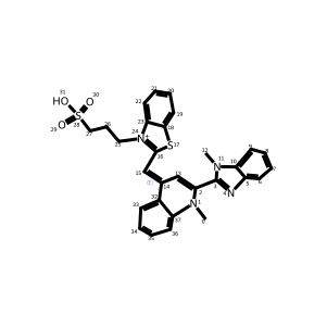 CN1C(c2nc3ccccc3n2C)=C/C(=C\c2sc3ccccc3[n+]2CCCS(=O)(=O)O)c2ccccc21